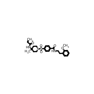 C=CC(=O)NC1(C)CCN(S(=O)(=O)c2ccc(C(=O)NCCc3ccccc3OC)cc2)CC1